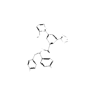 COc1cccnc1-c1cc(C(=O)NC(Cc2ccc(F)cc2)c2ccc(F)cc2)cc(-c2nnn[nH]2)c1